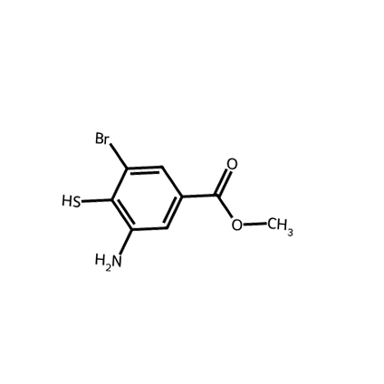 COC(=O)c1cc(N)c(S)c(Br)c1